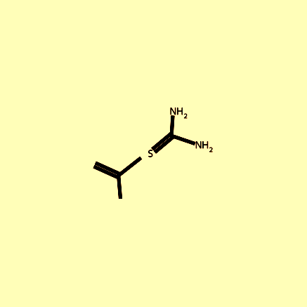 C=C(C)C.NC(N)=S